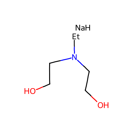 CCN(CCO)CCO.[NaH]